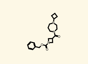 O=C(OCc1ccccc1)N1CC(C(=O)N2CCCN(C3CCC3)CC2)C1